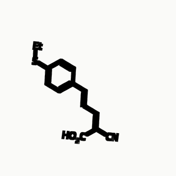 CCSc1ccc(C=CC=C(C#N)C(=O)O)cc1